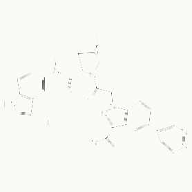 Cc1c[nH]c2ccc(N(C)C(=O)[C@@H]3C[C@@H](F)CN3C(=O)Cn3nc(C(N)=O)c4cc(-c5ccnnc5)ccc43)cc12